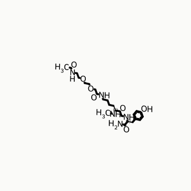 CN[C@@H](CCCCNC(=O)COCCOCCNC(C)=O)C(=O)CN[C@@H](Cc1ccc(O)cc1)C(N)=O